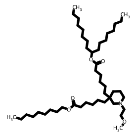 CCCCCCCCCOC(=O)CCCCCC1(CCCCCC(=O)OC(CCCCCCCC)CCCCCCCC)CCCN(CCOC)C1